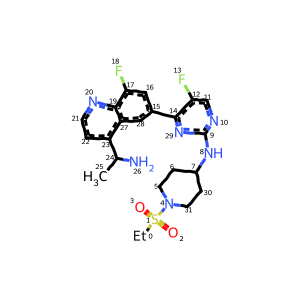 CCS(=O)(=O)N1CCC(Nc2ncc(F)c(-c3cc(F)c4nccc(C(C)N)c4c3)n2)CC1